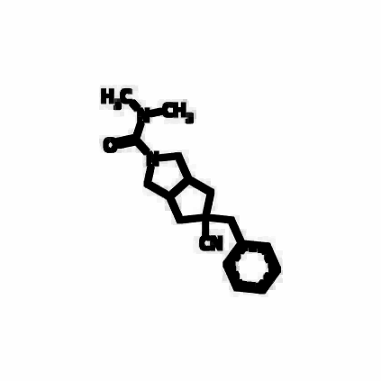 CN(C)C(=O)N1CC2CC(C#N)(Cc3ccccc3)CC2C1